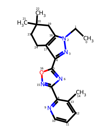 CCn1nc(-c2nc(-c3ncccc3C)no2)c2c1CC(C)(C)CC2